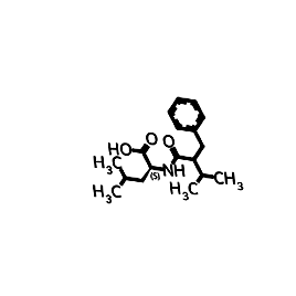 CC(C)C[C@H](NC(=O)C(Cc1ccccc1)C(C)C)C(=O)O